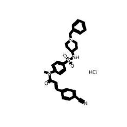 CN(C(=O)C=Cc1ccc(C#N)cc1)c1ccc(S(=O)(=O)NC2CCN(Cc3ccccc3)CC2)cc1.Cl